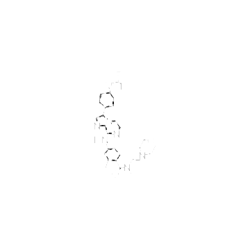 Cc1cc(Nc2nccn3c(-c4ccc(OC(F)F)cc4)cnc23)ccc1C(=O)N(C)CCN1CCOCC1